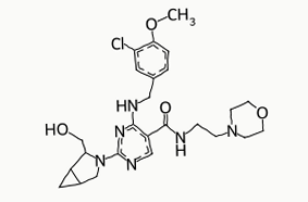 COc1ccc(CNc2nc(N3CC4CC4C3CO)ncc2C(=O)NCCN2CCOCC2)cc1Cl